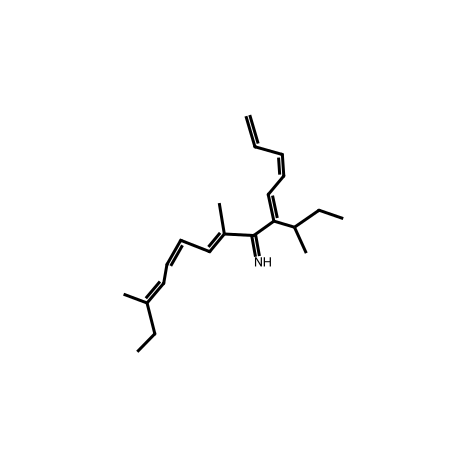 C=C/C=C\C=C(\C(=N)/C(C)=C/C=C\C=C(/C)CC)C(C)CC